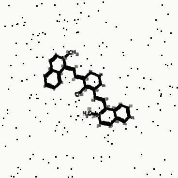 CN1C=Cc2ccccc2/C1=C\C=C1/CCCC(/C=C/c2c3ccccc3cc[n+]2C)=C1Cl